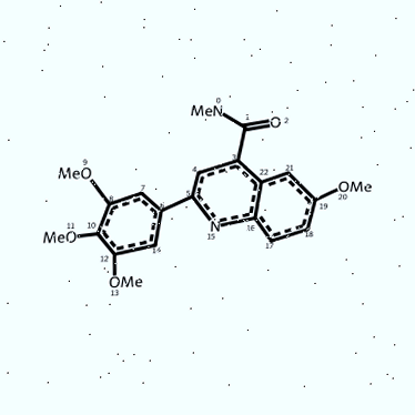 CNC(=O)c1cc(-c2cc(OC)c(OC)c(OC)c2)nc2ccc(OC)cc12